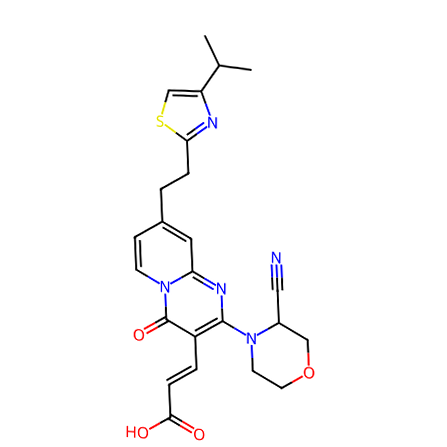 CC(C)c1csc(CCc2ccn3c(=O)c(C=CC(=O)O)c(N4CCOCC4C#N)nc3c2)n1